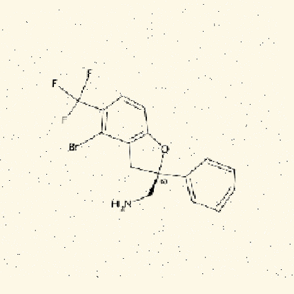 NC[C@@]1(c2ccccc2)Cc2c(ccc(C(F)(F)F)c2Br)O1